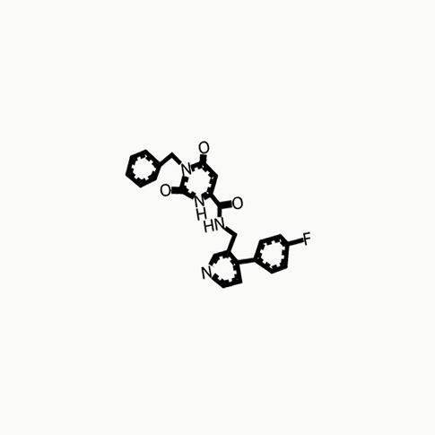 O=C(NCc1cnccc1-c1ccc(F)cc1)c1cc(=O)n(Cc2ccccc2)c(=O)[nH]1